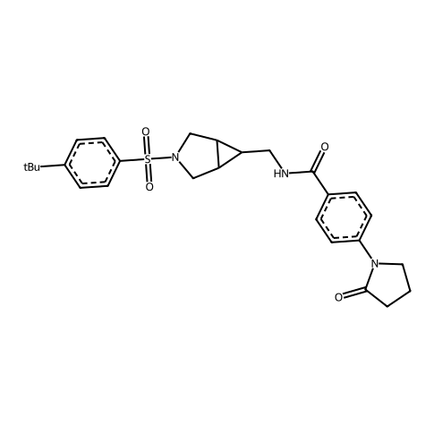 CC(C)(C)c1ccc(S(=O)(=O)N2CC3C(CNC(=O)c4ccc(N5CCCC5=O)cc4)C3C2)cc1